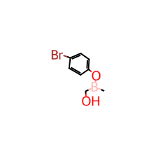 CB(CO)Oc1ccc(Br)cc1